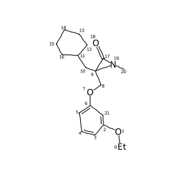 CCOc1cccc(OCC2(CC3CCCCC3)C(=O)N2C)c1